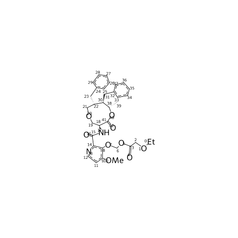 CCOCC(=O)OCOc1c(OC)ccnc1C(=O)N[C@H]1COC[C@H](Cc2ccccc2)[C@@H](Cc2ccccc2)[C@H](C)OC1=O